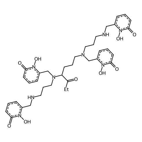 CCC(=O)C(CCCN(CCCNCc1cccc(=O)n1O)Cc1cccc(=O)n1O)N(CCCNCc1cccc(=O)n1O)Cc1cccc(=O)n1O